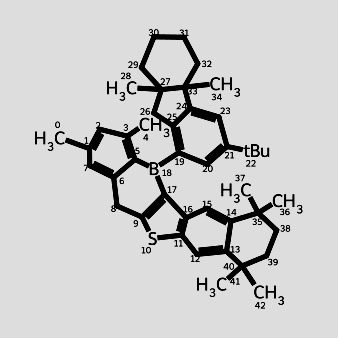 Cc1cc(C)c2c(c1)Cc1sc3cc4c(cc3c1B2c1cc(C(C)(C)C)cc2c1CC1(C)CCCCC21C)C(C)(C)CCC4(C)C